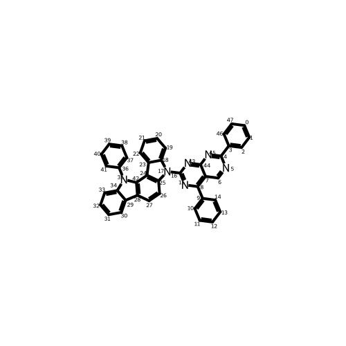 c1ccc(-c2ncc3c(-c4ccccc4)nc(-n4c5ccccc5c5c4ccc4c6ccccc6n(-c6ccccc6)c45)nc3n2)cc1